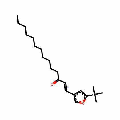 CCCCCCCCCCCC(=O)/C=C/c1coc([Si](C)(C)C)c1